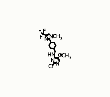 COc1cnc(Cl)nc1NCC1CCC(c2nc(C(F)(F)F)cn2C)CC1